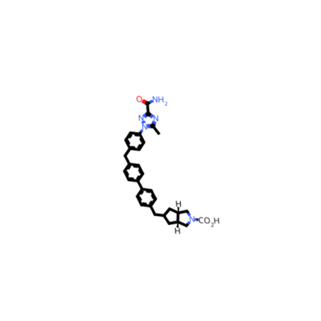 Cc1nc(C(N)=O)nn1-c1ccc(Cc2ccc(-c3ccc(CC4C[C@@H]5CN(C(=O)O)C[C@@H]5C4)cc3)cc2)cc1